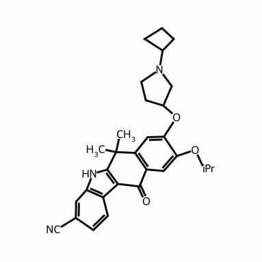 CC(C)Oc1cc2c(cc1OC1CCN(C3CCC3)C1)C(C)(C)c1[nH]c3cc(C#N)ccc3c1C2=O